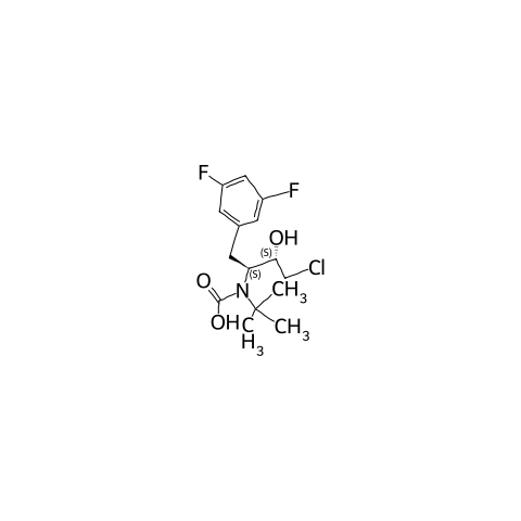 CC(C)(C)N(C(=O)O)[C@@H](Cc1cc(F)cc(F)c1)[C@H](O)CCl